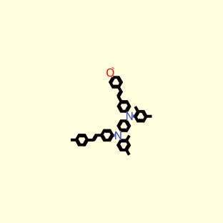 COc1ccc(/C=C/c2ccc(N(c3ccc(N(c4ccc(/C=C/c5ccc(C)cc5)cc4)c4ccc(C)cc4C)cc3)c3ccc(C)cc3C)cc2)cc1